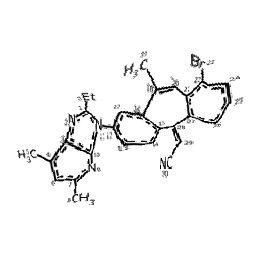 CCc1nc2c(C)cc(C)nc2n1-c1ccc2c(c1)C(C)=Cc1c(Br)cccc1C2=CC#N